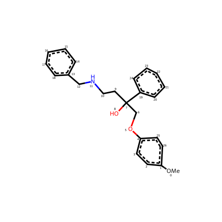 COc1ccc(OCC(O)(CCNCc2ccccc2)c2ccccc2)cc1